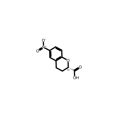 O=C(O)[C@@H]1CCc2cc([N+](=O)[O-])ccc2O1